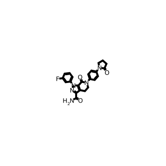 NC(=O)c1nn(-c2cccc(F)c2)c2c1CCN(c1ccc(N3CCCC3=O)cc1)C2=O